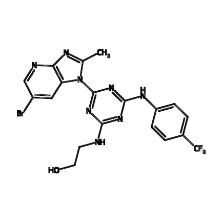 Cc1nc2ncc(Br)cc2n1-c1nc(NCCO)nc(Nc2ccc(C(F)(F)F)cc2)n1